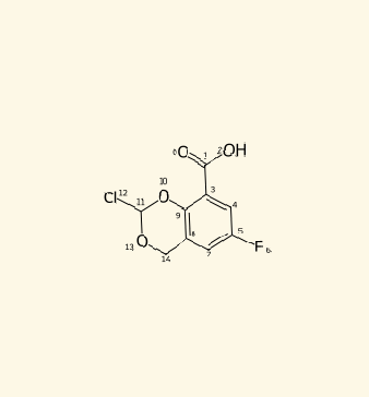 O=C(O)c1cc(F)cc2c1OC(Cl)OC2